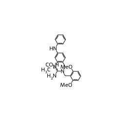 CC(=O)O.COc1cccc(OC)c1CN1Cc2ccc(Nc3ccccc3)cc2N=C1N